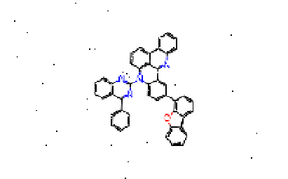 c1ccc(-c2nc(N3c4ccc(-c5cccc6c5oc5ccccc56)cc4-c4nc5ccccc5c5cccc3c45)nc3ccccc23)cc1